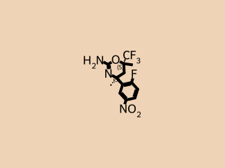 C[C@@]1(c2cc([N+](=O)[O-])ccc2F)C[C@@](C)(C(F)(F)F)OC(N)=N1